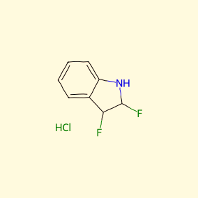 Cl.FC1Nc2ccccc2C1F